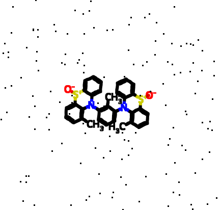 Cc1cccc2c1N(c1cccc(N3c4ccccc4[S+]([O-])c4cccc(C)c43)c1C)c1ccccc1[S+]2[O-]